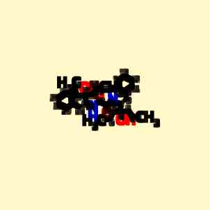 CCCC(O)(CCC)[C@@H](Cc1ccccc1)NC(=O)C(=O)N[C@H](Cc1ccccc1)C(O)(CCC)CCC